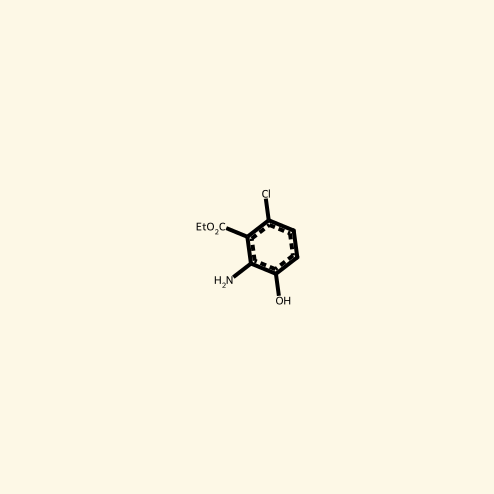 CCOC(=O)c1c(Cl)ccc(O)c1N